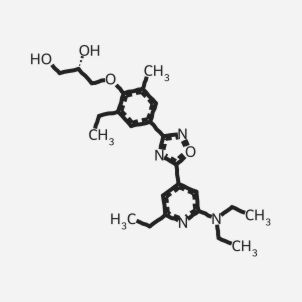 CCc1cc(-c2nc(-c3cc(C)c(OC[C@@H](O)CO)c(CC)c3)no2)cc(N(CC)CC)n1